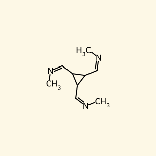 C/N=C\C1C(/C=N\C)C1/C=N\C